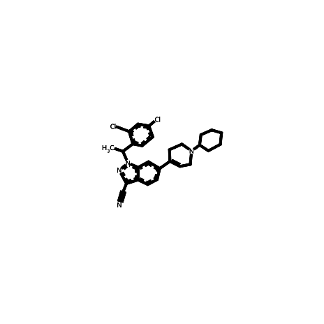 CC(c1ccc(Cl)cc1Cl)n1nc(C#N)c2ccc(C3=CCN(C4CCCCC4)CC3)cc21